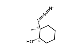 C[C@]1(N=[N+]=[N-])CCCC[C@@H]1O